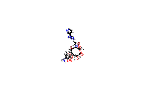 CC[C@H]1OC(=O)[C@H](C)C(=O)[C@H](C)[C@@H](O[C@@H]2O[C@H](C)C[C@H](N(C)C)[C@H]2O)[C@](C)(OC)C[C@@H](C)C(=O)[C@H](C)C2N(CCCCn3cnc(-c4cccnc4)c3)C(=O)O[C@@]21C